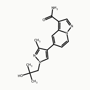 Cc1nn(CC(C)(C)O)cc1-c1ccn2ncc(C(N)=O)c2c1